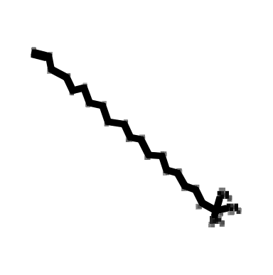 C=CCCCCCCCCCCCCCCCCCC(N)(N)N